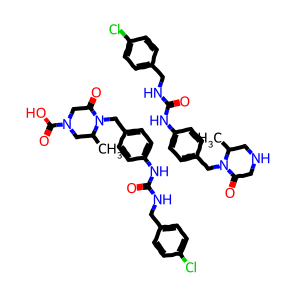 CC1CN(C(=O)O)CC(=O)N1Cc1ccc(NC(=O)NCc2ccc(Cl)cc2)cc1.CC1CNCC(=O)N1Cc1ccc(NC(=O)NCc2ccc(Cl)cc2)cc1